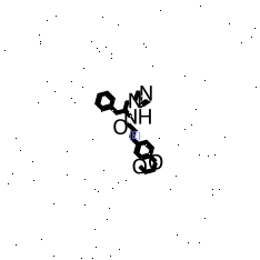 O=C(/C=C/c1ccc2c(c1)OCCO2)NC(Cc1ccccc1)Cn1ccnc1